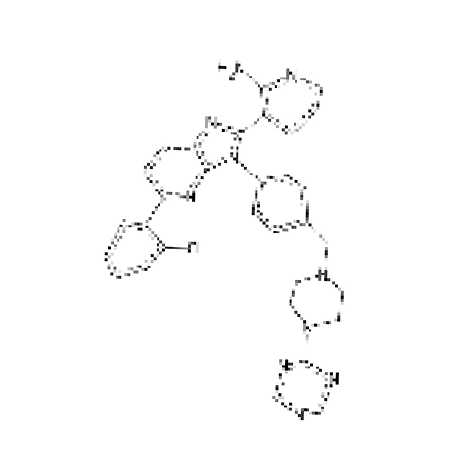 Nc1ncccc1-c1nc2ccc(-c3ccccc3Cl)nc2n1-c1ccc(CN2CCN(c3ncncn3)CC2)cc1